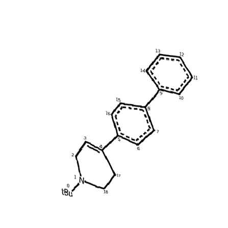 CC(C)(C)N1CC=C(c2ccc(-c3ccccc3)cc2)CC1